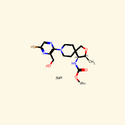 C[C@@H]1OCC2(CCN(c3ncc(S)nc3CO)CC2)[C@@H]1NC(=O)OC(C)(C)C.[NaH]